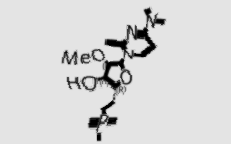 C=C1N=C(N(C)C)C=CN1C1O[C@H](CCP(=C)(C)C)[C@@H](O)[C@H]1OC